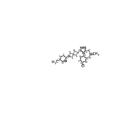 Cc1ccc(N2CC3(CC(c4nnc5n4-c4ccc(Cl)cc4CN(C)C5)C3)C2)nc1